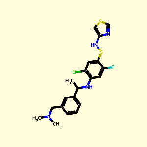 CC(Nc1cc(F)c(SNc2cscn2)cc1Cl)c1cccc(CN(C)C)c1